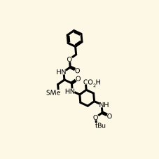 CSCC(NC(=O)OCc1ccccc1)C(=O)NC1CCC(NC(=O)OC(C)(C)C)CC1C(=O)O